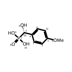 COc1ccc([C@@H](O)P(=O)(O)O)cc1